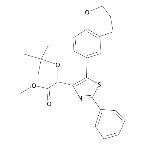 COC(=O)C(OC(C)(C)C)c1nc(-c2ccccc2)sc1-c1ccc2c(c1)CCCO2